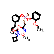 C=CCc1cccc(OP(=S)(Oc2ccccc2OCC)SCC(=NOC)OC(=O)NC2CCC2)c1